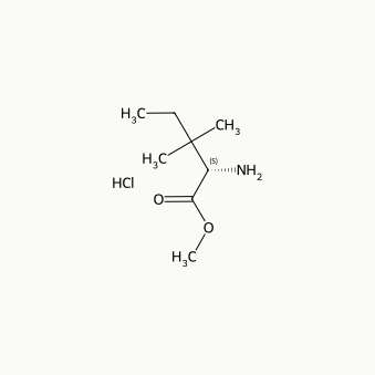 CCC(C)(C)[C@H](N)C(=O)OC.Cl